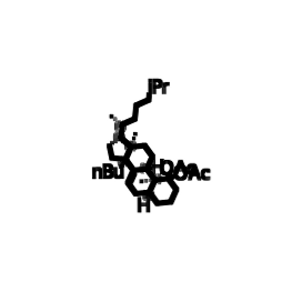 CCCC[C@@]12CC[C@H]([C@H](C)CCCC(C)C)[C@@]1(C)CC[C@H]1C2=CC[C@H]2CCCC(OC(C)=O)(OC(C)=O)[C@@]21C